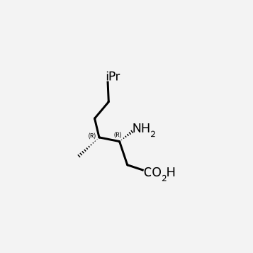 CC(C)CC[C@@H](C)[C@H](N)CC(=O)O